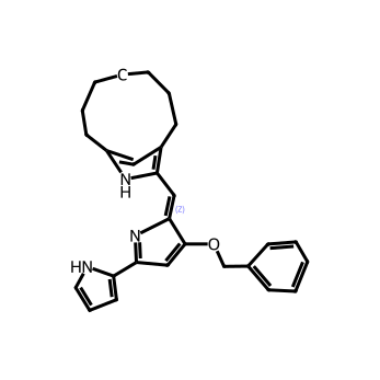 C1=C(OCc2ccccc2)/C(=C/c2[nH]c3cc2CCCCCCC3)N=C1c1ccc[nH]1